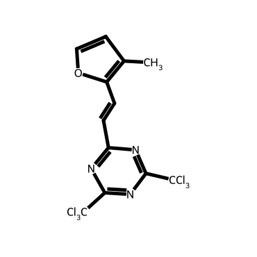 Cc1ccoc1/C=C/c1nc(C(Cl)(Cl)Cl)nc(C(Cl)(Cl)Cl)n1